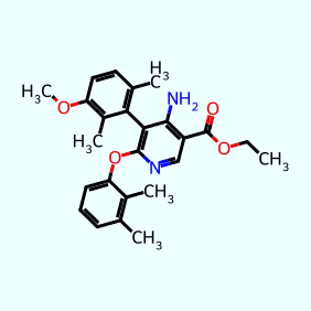 CCOC(=O)c1cnc(Oc2cccc(C)c2C)c(-c2c(C)ccc(OC)c2C)c1N